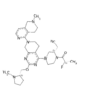 C[C@H](F)C(=O)N1CCN(c2nc(OC[C@@H]3CCCN3C)nc3c2CCN(c2nccc4c2CCN(C)C4)C3)C[C@@H]1CC#N